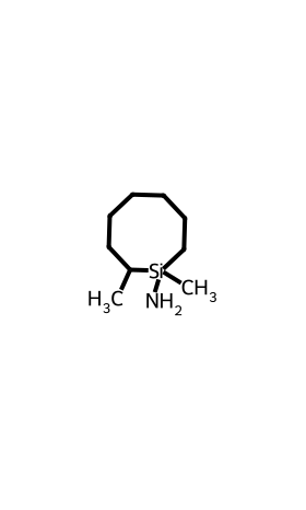 CC1CCCCCC[Si]1(C)N